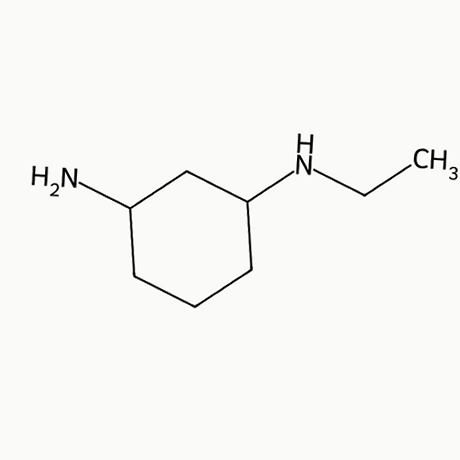 CCNC1CCCC(N)C1